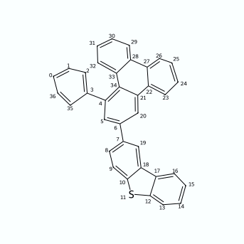 c1ccc(-c2cc(-c3ccc4sc5ccccc5c4c3)cc3c4ccccc4c4ccccc4c23)cc1